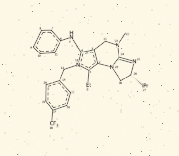 CCc1c2c(c(Nc3ccccc3)n1Cc1ccc(C(F)(F)F)cc1)CN(C)C1=N[C@H](C(C)C)CN12